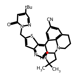 CC1(C)C[C@H](N2CCCc3cc(C#N)cc(-c4ccnc5cc(Cn6ncc(C(C)(C)C)cc6=O)sc45)c32)CN1